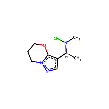 C[C@H](c1cnn2c1OCCC2)N(C)Cl